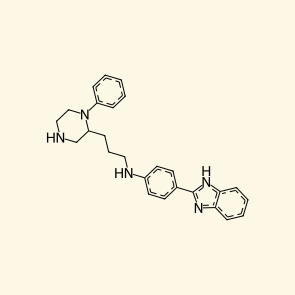 c1ccc(N2CCNCC2CCCNc2ccc(-c3nc4ccccc4[nH]3)cc2)cc1